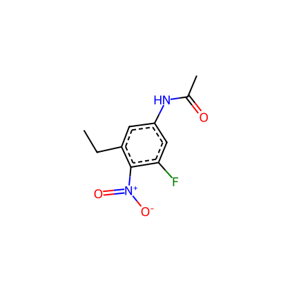 CCc1cc(NC(C)=O)cc(F)c1[N+](=O)[O-]